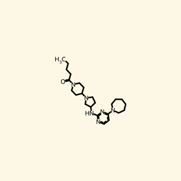 CCCCC(=O)N1CCC(N2CCC(Nc3nccc(N4CCCCCC4)n3)C2)CC1